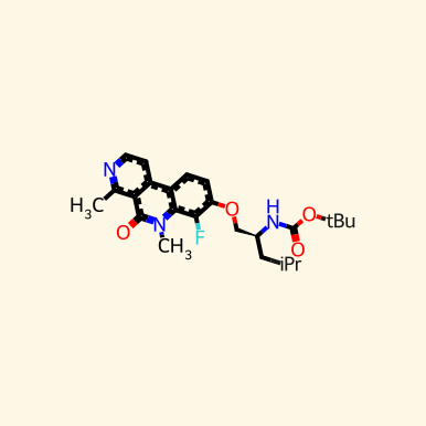 Cc1nccc2c1c(=O)n(C)c1c(F)c(OC[C@H](CC(C)C)NC(=O)OC(C)(C)C)ccc21